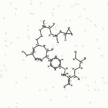 CCC1=C/C(CCCN(C)C(C)CN(C)CC2(C)CC2)CC(C)C(c2ccc(CN/C(=N\C)C(C)CCC(C)CC)cc2)/C=C\1